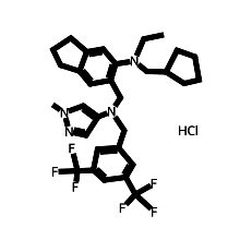 CCN(CC1CCCC1)c1cc2c(cc1CN(Cc1cc(C(F)(F)F)cc(C(F)(F)F)c1)c1cnn(C)c1)CCC2.Cl